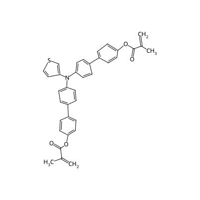 C=C(C)C(=O)Oc1ccc(-c2ccc(N(c3ccc(-c4ccc(OC(=O)C(=C)C)cc4)cc3)c3ccsc3)cc2)cc1